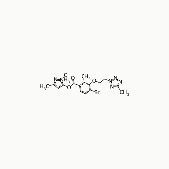 Cc1cc(OC(=O)c2ccc(Br)c(OCCn3nnc(C)n3)c2C)n(C)n1